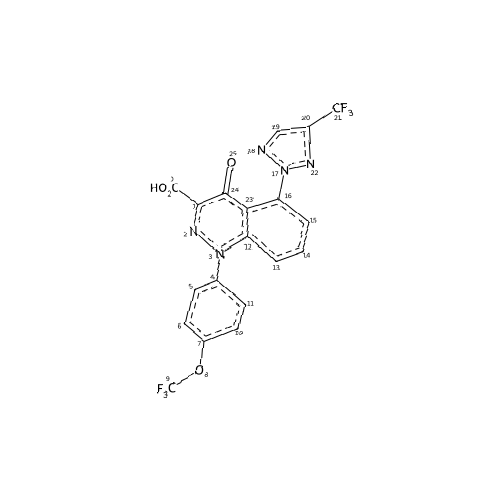 O=C(O)c1nn(-c2ccc(OC(F)(F)F)cc2)c2cccc(-n3ncc(C(F)(F)F)n3)c2c1=O